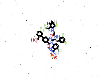 Cn1nc(NS(C)(=O)=O)c2c(Cl)ccc(-n3c([C@H](Cc4cc(F)cc(F)c4)NC(=O)Cn4nc(C(F)F)c5c4C(F)(F)[C@@H]4C[C@H]54)nc4cc(-c5cc(F)ccc5CO)ccc4c3=O)c21